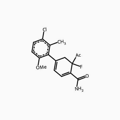 COc1ccc(Cl)c(C)c1C1=CC=C(C(N)=O)C(F)(C(C)=O)C1